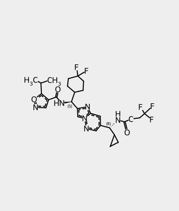 CC(C)c1oncc1C(=O)N[C@H](c1cn2ncc([C@H](NC(=O)CCC(F)(F)F)C3CC3)cc2n1)C1CCC(F)(F)CC1